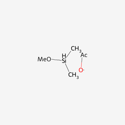 CC([O])=O.CO[SiH](C)C